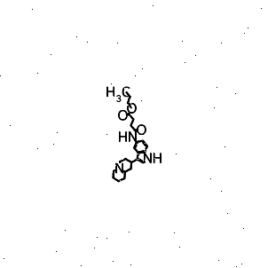 CCCOC(=O)CCC(=O)Nc1ccc2[nH]cc(C3CCN4CCCCC4C3)c2c1